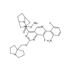 CC(C)(C)OC(=O)N1C2CCC1CN(c1nc(OCC34CCCN3CCC4)nc3c(F)c(-c4c(N)cccc4F)ncc13)C2